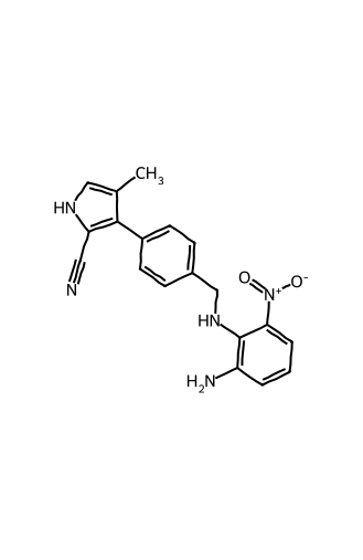 Cc1c[nH]c(C#N)c1-c1ccc(CNc2c(N)cccc2[N+](=O)[O-])cc1